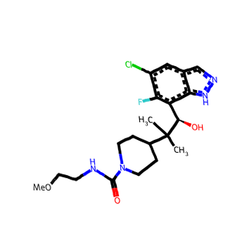 COCCNC(=O)N1CCC(C(C)(C)[C@H](O)c2c(F)c(Cl)cc3cn[nH]c23)CC1